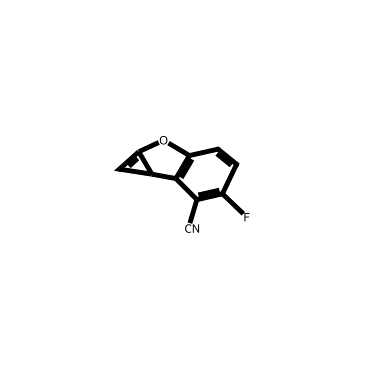 N#Cc1c(F)ccc2c1C1C=C1O2